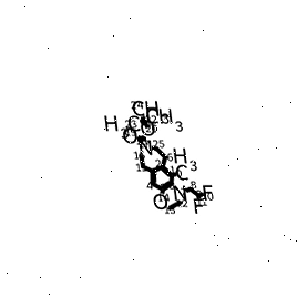 Cc1c2c(cc3c1N(CC(F)F)CCO3)CCN(C(=O)OC(C)(C)C)CC2